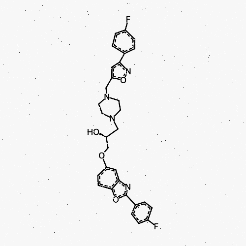 O[C@H](COc1ccc2oc(-c3ccc(F)cc3)nc2c1)CN1CCN(Cc2cc(-c3ccc(F)cc3)no2)CC1